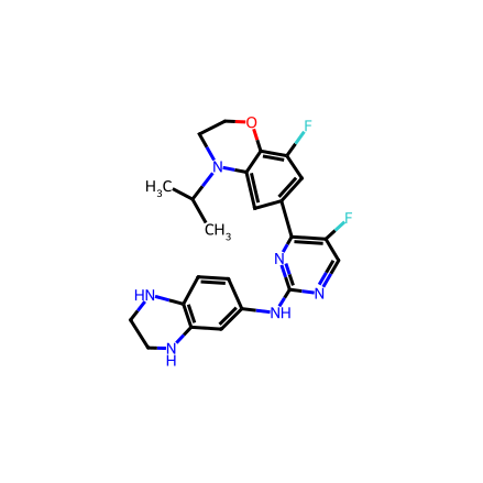 CC(C)N1CCOc2c(F)cc(-c3nc(Nc4ccc5c(c4)NCCN5)ncc3F)cc21